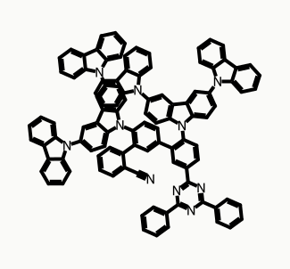 N#Cc1ccccc1-c1cc(-c2cc(-c3nc(-c4ccccc4)nc(-c4ccccc4)n3)ccc2-n2c3ccc(-n4c5ccccc5c5ccccc54)cc3c3cc(-n4c5ccccc5c5ccccc54)ccc32)ccc1-n1c2ccc(-n3c4ccccc4c4ccccc43)cc2c2cc(-n3c4ccccc4c4ccccc43)ccc21